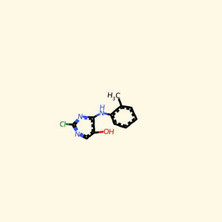 Cc1ccccc1Nc1nc(Cl)ncc1O